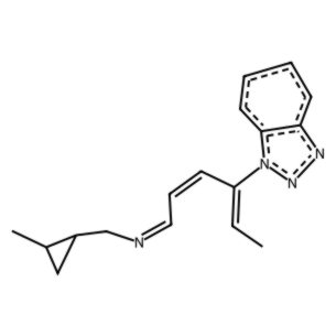 C/C=C(/C=C\C=N/CC1CC1C)n1nnc2ccccc21